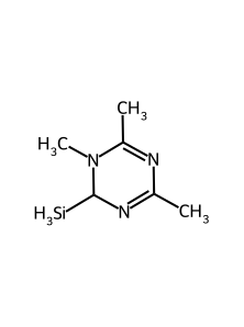 CC1=NC([SiH3])N(C)C(C)=N1